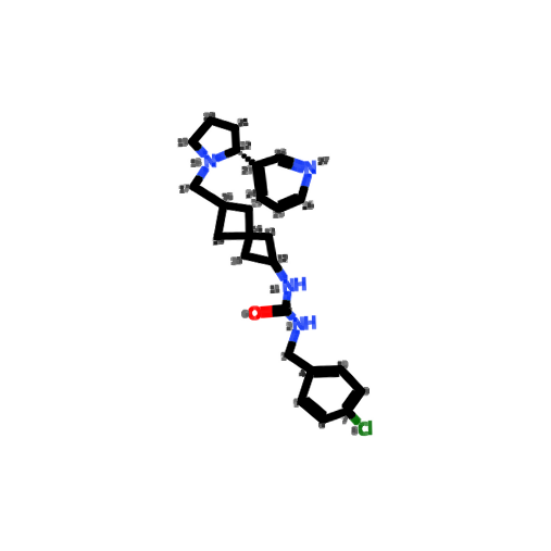 O=C(NCc1ccc(Cl)cc1)NC1CC2(CC(CN3CCC[C@@H]3c3cccnc3)C2)C1